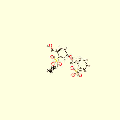 O=Cc1ccccc1S(=O)(=O)[O-].O=Cc1ccccc1S(=O)(=O)[O-].[Na+].[Na+]